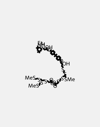 CCNCC1(C)CC(NCC(O)COc2ccc(C(C)(C)c3ccc(OCC(O)CCSCCSC(CSC)CSCCSCC(=O)OOC(=O)CCSCC(CSCCSC)SCCSC)cc3)cc2)CC(C)(C)C1